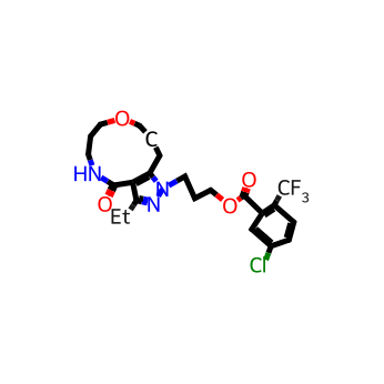 CCc1nn(CCCOC(=O)c2cc(Cl)ccc2C(F)(F)F)c2c1C(=O)NCCCOCCC2